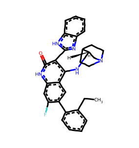 CCc1ccccc1-c1cc2c(N[C@H]3CN4CCC3CC4)c(-c3nc4ccccc4[nH]3)c(=O)[nH]c2cc1F